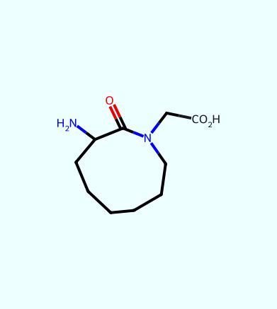 NC1CCCCCCN(CC(=O)O)C1=O